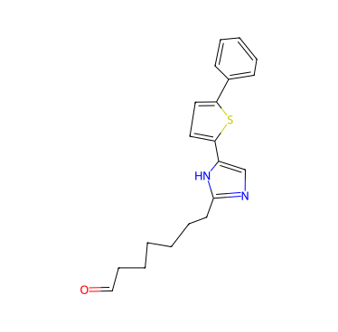 O=CCCCCCCc1ncc(-c2ccc(-c3ccccc3)s2)[nH]1